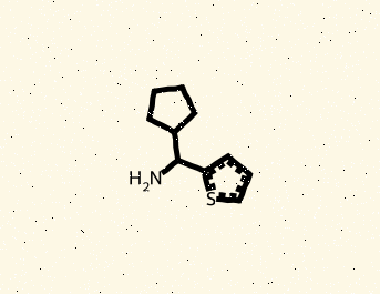 NC(c1cccs1)C1CCCC1